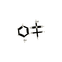 O=S(=O)(O)C(F)(F)F.[Au].c1ccncc1